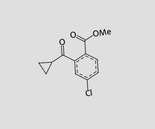 COC(=O)c1ccc(Cl)cc1C(=O)C1CC1